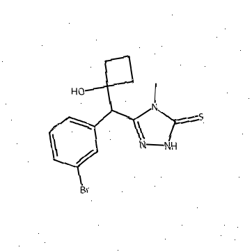 Cn1c(C(c2cccc(Br)c2)C2(O)CCC2)n[nH]c1=S